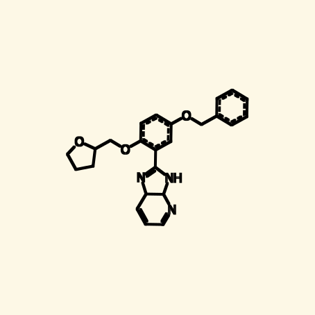 C1=CC2N=C(c3cc(OCc4ccccc4)ccc3OCC3CCCO3)NC2N=C1